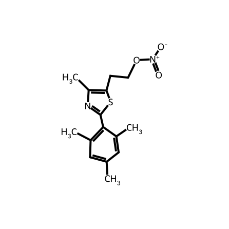 Cc1cc(C)c(-c2nc(C)c(CCO[N+](=O)[O-])s2)c(C)c1